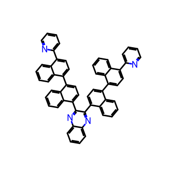 c1ccc(-c2ccc(-c3ccc(-c4nc5ccccc5nc4-c4ccc(-c5ccc(-c6ccccn6)c6ccccc56)c5ccccc45)c4ccccc34)c3ccccc23)nc1